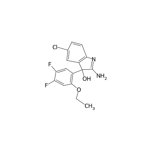 CCOc1cc(F)c(F)cc1C1(O)C(N)=Nc2ccc(Cl)cc21